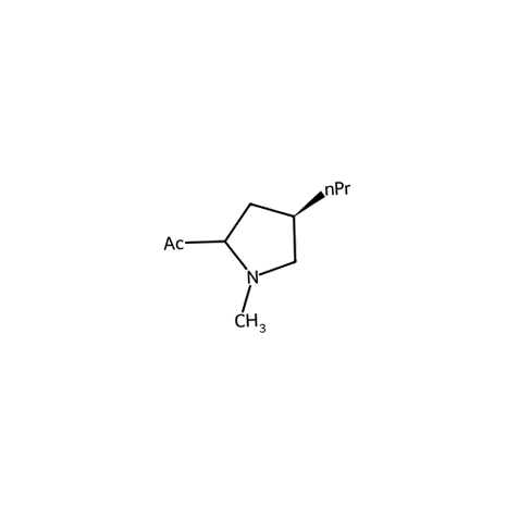 CCC[C@@H]1CC(C(C)=O)N(C)C1